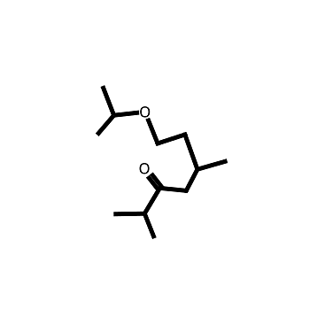 CC(CCOC(C)C)CC(=O)C(C)C